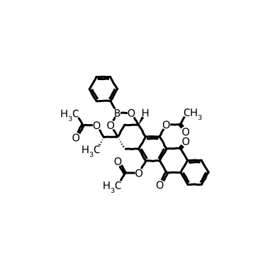 CC(=O)Oc1c2c(c(OC(C)=O)c3c1C(=O)c1ccccc1C3=O)[C@@H]1C[C@]([C@H](C)OC(C)=O)(C2)OB(c2ccccc2)O1